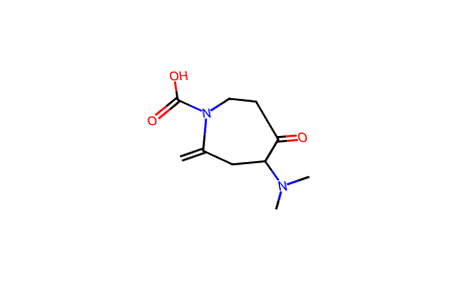 C=C1CC(N(C)C)C(=O)CCN1C(=O)O